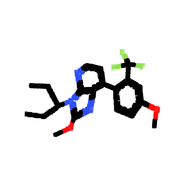 CCC(CC)n1c(OC)nc2c(-c3ccc(OC)cc3C(F)(F)F)ccnc21